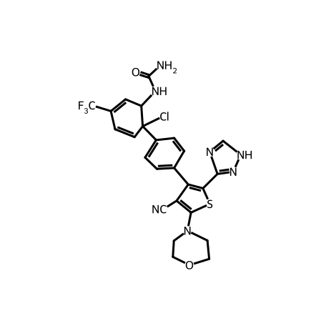 N#Cc1c(N2CCOCC2)sc(-c2nc[nH]n2)c1-c1ccc(C2(Cl)C=CC(C(F)(F)F)=CC2NC(N)=O)cc1